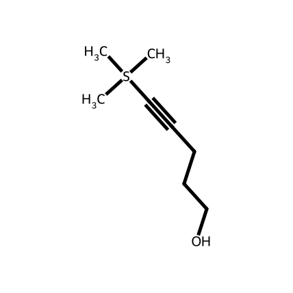 CS(C)(C)C#CCCCO